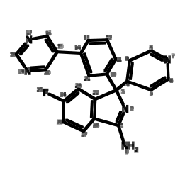 NC1=NC(c2ccncc2)(c2cccc(-c3cncnc3)c2)c2cc(F)ccc21